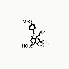 C=CC[C@]1(CCCBr)C(OCc2ccc(OC)cc2)CN(C(=O)O)[C@@H]1C(=O)O